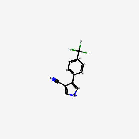 N#Cc1c[nH]cc1-c1ccc(C(F)(F)F)cc1